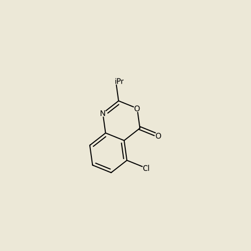 CC(C)c1nc2cccc(Cl)c2c(=O)o1